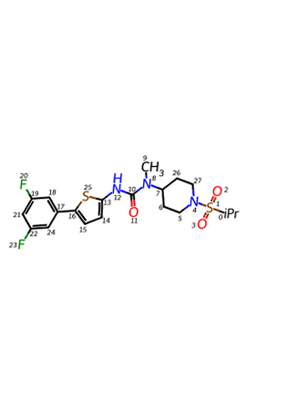 CC(C)S(=O)(=O)N1CCC(N(C)C(=O)Nc2ccc(-c3cc(F)cc(F)c3)s2)CC1